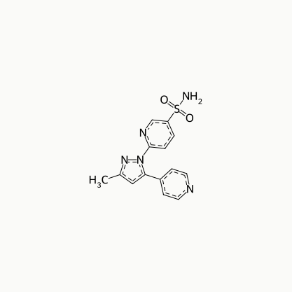 Cc1cc(-c2ccncc2)n(-c2ccc(S(N)(=O)=O)cn2)n1